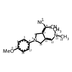 COc1ccc(N2CC(=C(C#N)C#N)/C(=C\N(C)C)C2)cc1